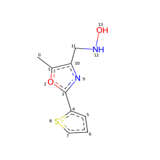 Cc1oc(-c2cccs2)nc1CNO